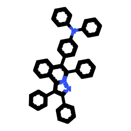 c1ccc(-c2nn3c(-c4ccccc4)c(-c4ccc(N(c5ccccc5)c5ccccc5)cc4)c4ccccc4c3c2-c2ccccc2)cc1